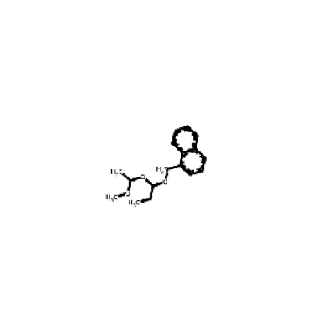 CCC(O[SiH2]c1cccc2ccccc12)OC(C)OC